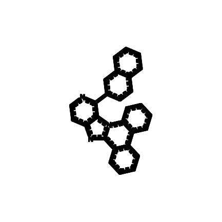 c1ccc2cc(-c3nccc4nc5c6ccccc6c6ccccc6n5c34)ccc2c1